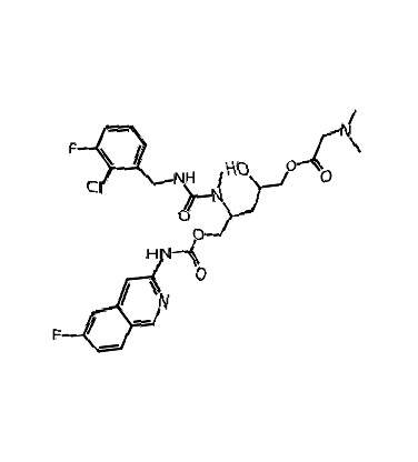 CN(C)CC(=O)OCC(O)C[C@@H](COC(=O)Nc1cc2cc(F)ccc2cn1)N(C)C(=O)NCc1cccc(F)c1Cl